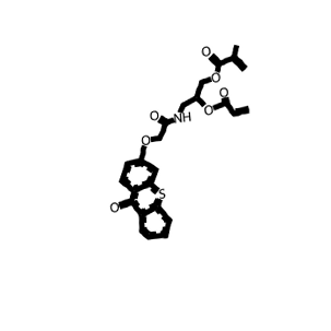 C=CC(=O)OC(CNC(=O)COc1ccc2c(=O)c3ccccc3sc2c1)COC(=O)C(=C)C